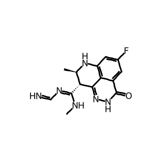 CN/C(=N\C=N)[C@H]1c2n[nH]c(=O)c3cc(F)cc(c23)N[C@@H]1C